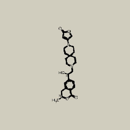 C[C@H]1Cc2cc([C@@H](O)CN3CCC4(CC3)CCN(C3=CC(=O)OC3)CC4)ccc2C(=O)O1